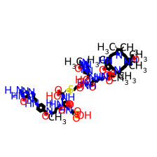 CC[C@H]1c2cc3[nH]c4c(c3C)C(=O)[C@@H](C(=O)OC)c4c3nc(cc4[nH]c(cc(n2)[C@@H]1C)c(C(C)=O)c4C)[C@@H](C)[C@@H]3CCC(=O)NCCCC(NC(O)c1cn2c(=O)n(C)nnc2n1)C(=O)NNC(=O)OCCSSC[C@H](NC[C@@](C=O)(CC(=O)NCCS(=O)(=O)O)NC(=O)CC[C@@H](C)NC(=O)c1ccc(NCc2cnc3nc(N)[nH]c(=O)c3n2)cc1)C(=O)O